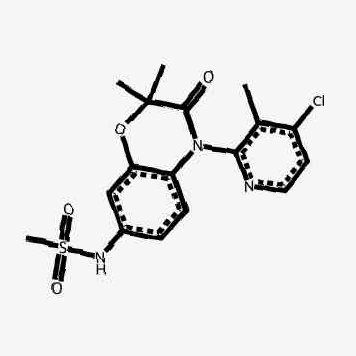 Cc1c(Cl)ccnc1N1C(=O)C(C)(C)Oc2cc(NS(C)(=O)=O)ccc21